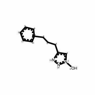 On1cc(CCCc2ccccc2)nn1